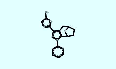 CC(C)(C)c1cnc(-c2nn(-c3cnccn3)c3c2CC2CCC3O2)s1